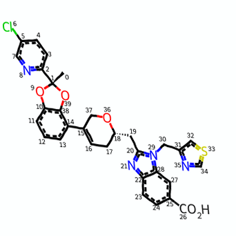 C[C@]1(c2ccc(Cl)cn2)Oc2cccc(C3=CC[C@@H](Cc4nc5ccc(C(=O)O)cc5n4Cc4cscn4)OC3)c2O1